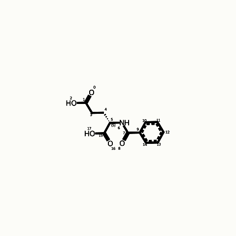 O=C(O)CC[C@H](NC(=O)c1ccccc1)C(=O)O